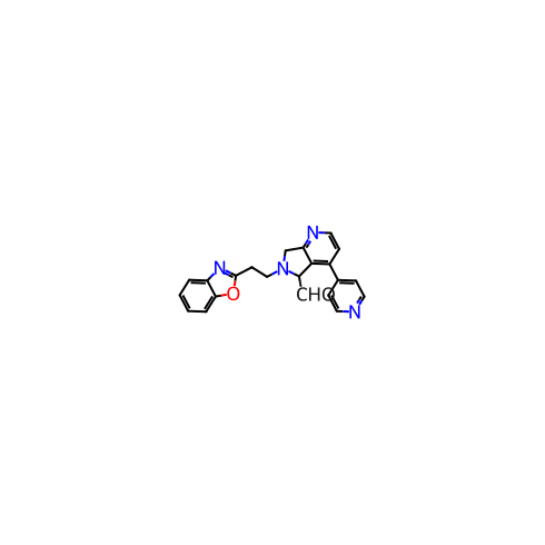 O=CC1c2c(-c3ccncc3)ccnc2CN1CCc1nc2ccccc2o1